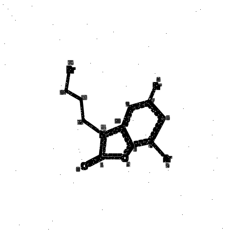 O=c1oc2c(Br)cc(Br)cc2n1CCCBr